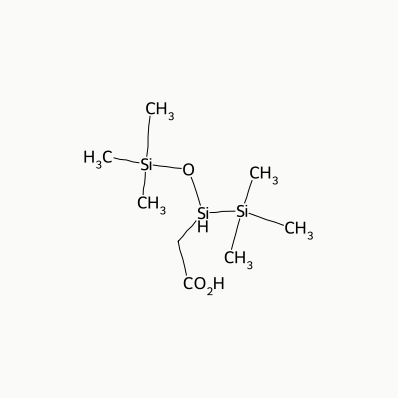 C[Si](C)(C)O[SiH](CC(=O)O)[Si](C)(C)C